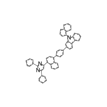 c1ccc(-c2cc(-c3ccc(-c4ccc(-c5ccc6c7ccccc7n(-c7cccc8ccccc78)c6c5)cc4)c4ccccc34)nc(-c3ccccc3)n2)cc1